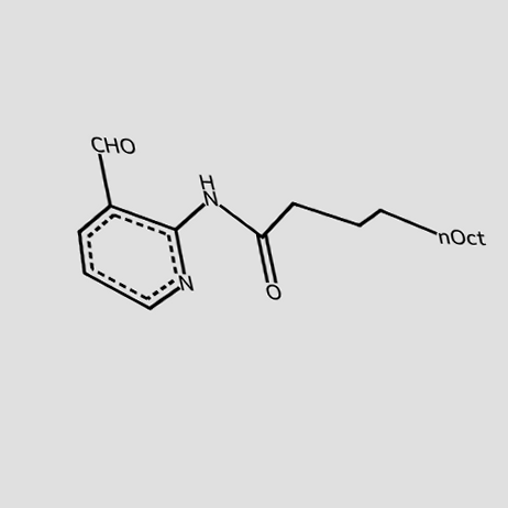 CCCCCCCCCCCC(=O)Nc1ncccc1C=O